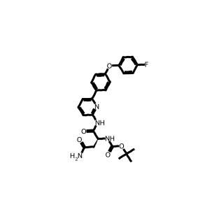 CC(C)(C)OC(=O)N[C@@H](CC(N)=O)C(=O)Nc1cccc(-c2ccc(Oc3ccc(F)cc3)cc2)n1